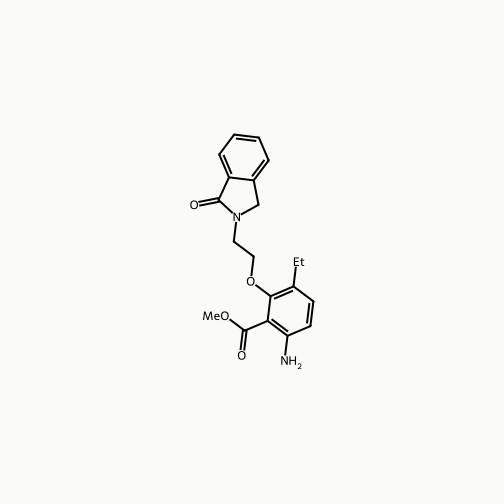 CCc1ccc(N)c(C(=O)OC)c1OCCN1Cc2ccccc2C1=O